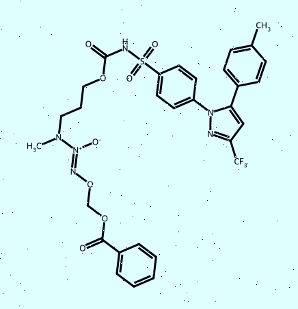 Cc1ccc(-c2cc(C(F)(F)F)nn2-c2ccc(S(=O)(=O)NC(=O)OCCCN(C)[N+]([O-])=NOCOC(=O)c3ccccc3)cc2)cc1